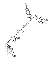 CC1=C(C)C(=O)C(C(C)(C)CC(=O)N(C)CCN(CCOCCOCCC(=O)NCCCCC(NC(=O)CC[C@@H](C)[C@H]2CC[C@H]3[C@@H]4CC[C@@H]5C[C@H](O)CC[C@]5(C)[C@H]4CC[C@]23C)C(=O)O)C(=O)Oc2ccc3nc(C#N)sc3c2)=C(C)C1=O